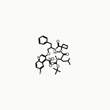 CC(C)CC(C(=O)N(C)C1(C(=O)NC(COc2cnc3ccc(F)cc3c2C(=O)O)Cc2ccccc2)CCC1)N(C)C(=O)OC(C)(C)C